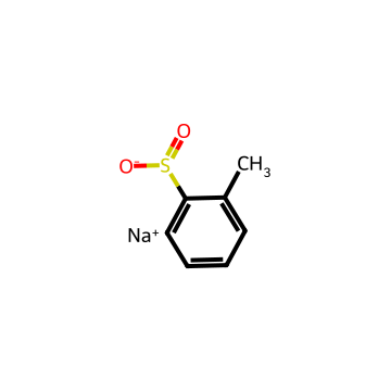 Cc1ccccc1S(=O)[O-].[Na+]